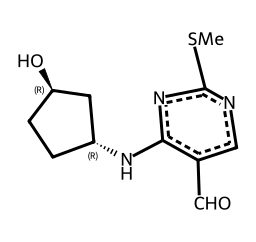 CSc1ncc(C=O)c(N[C@@H]2CC[C@@H](O)C2)n1